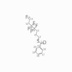 O=C(SCCCC(F)(F)C(F)(F)CCF)c1ccccc1